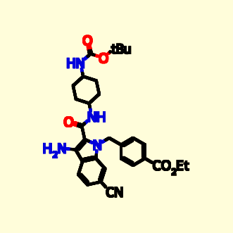 CCOC(=O)c1ccc(Cn2c(C(=O)NC3CCC(NC(=O)OC(C)(C)C)CC3)c(N)c3ccc(C#N)cc32)cc1